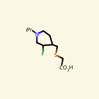 CC(C)N1CCC(CSCC(=O)O)C(F)C1